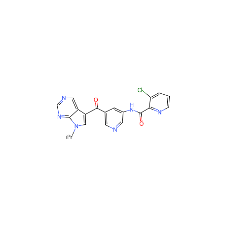 CC(C)n1cc(C(=O)c2cncc(NC(=O)c3ncccc3Cl)c2)c2cncnc21